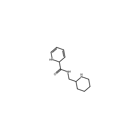 O=C(NCC1CCCCN1)C1C=CC=CN1